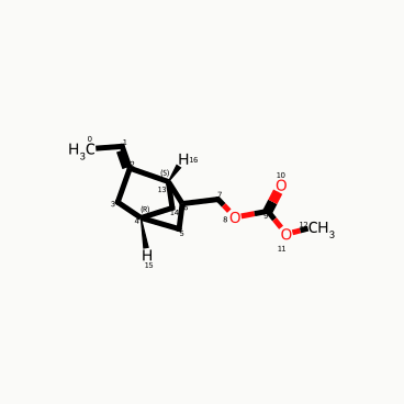 CC=C1C[C@H]2CC(COC(=O)OC)[C@@H]1C2